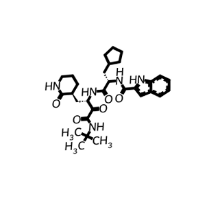 CC(C)(C)NC(=O)C(=O)[C@H](C[C@@H]1CCCNC1=O)NC(=O)[C@H](CC1CCCC1)NC(=O)c1cc2ccccc2[nH]1